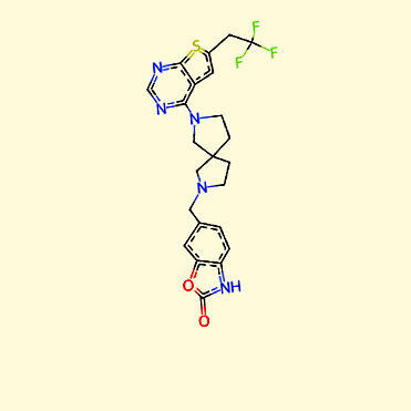 O=c1[nH]c2ccc(CN3CCC4(CCN(c5ncnc6sc(CC(F)(F)F)cc56)C4)C3)cc2o1